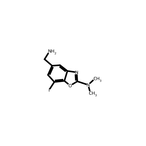 CN(C)c1nc2cc(CN)cc(I)c2o1